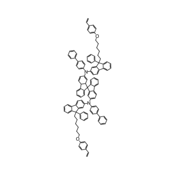 C=Cc1ccc(OCCCCCCC2(c3ccccc3)c3ccccc3-c3ccc(N(C4=CC5C(C=C4)c4ccccc4C54c5ccccc5-c5ccc(N(c6ccc(-c7ccccc7)cc6)c6ccc7c(c6)C(CCCCCCOc6ccc(C=C)cc6)(c6ccccc6)c6ccccc6-7)cc54)c4ccc(-c5ccccc5)cc4)cc32)cc1